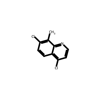 Cc1c(Cl)ccc2c(Cl)ccnc12